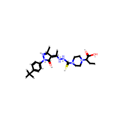 CCC(C(=O)O)N1CCN(C(=S)NN/C(C)=C2\C(=O)N(c3ccc(C(C)(C)C)cc3)N=C2C)CC1